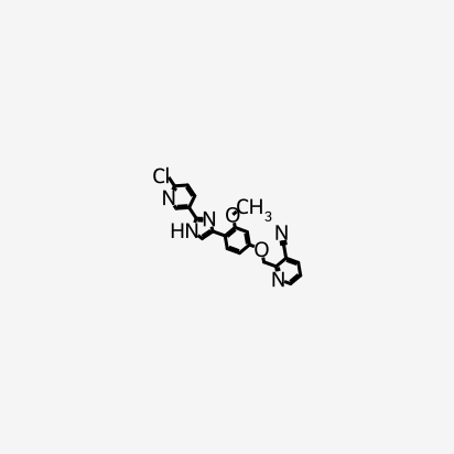 COc1cc(OCc2ncccc2C#N)ccc1-c1c[nH]c(-c2ccc(Cl)nc2)n1